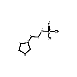 O=P(O)(O)OCCN1CCCC1